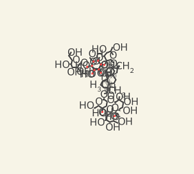 C=C1C[C@@]23CC[C@H]4[C@@](C)(CCC[C@@]4(C)C(=O)OC4OC(CO)C(O)C(OC5OC(CO)C(O)C(O)C5O)C4OC4OC(CO)C(O)C(O)C4O)[C@@H]2CC[C@]1(OC1OC(CO)C(O)C(OC2OC(COC4OC(CO)C(O)C(O)C4O)C(O)C(O)C2O)C1OC1OC(CO)C(O)C(O)C1O)C3